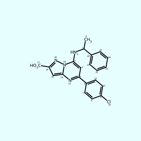 CC(Nc1cc(-c2ccc(Cl)cc2)nc2cc(C(=O)O)nn12)c1ccccc1